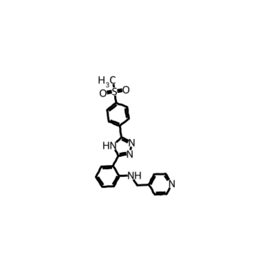 CS(=O)(=O)c1ccc(-c2nnc(-c3ccccc3NCc3ccncc3)[nH]2)cc1